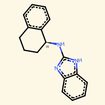 c1ccc2c(c1)CCC[C@@H]2Nc1nc2ccccc2[nH]1